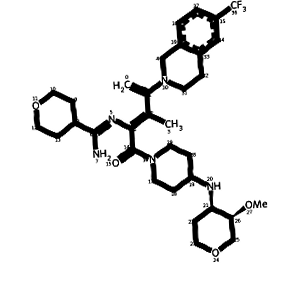 C=C(/C(C)=C(\N=C(/N)C1CCOCC1)C(=O)N1CCC(N[C@@H]2CCOC[C@@H]2OC)CC1)N1CCc2cc(C(F)(F)F)ccc2C1